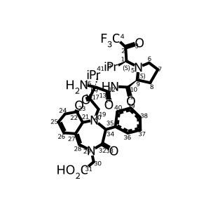 CC(C)[C@@H](C(=O)C(F)(F)F)N1CCC[C@H]1C(=O)NC(=O)[C@](N)(C(=O)CN1C2C(=O)CC=CC2=CN(CC(=O)O)C(=O)C1c1ccccc1)C(C)C